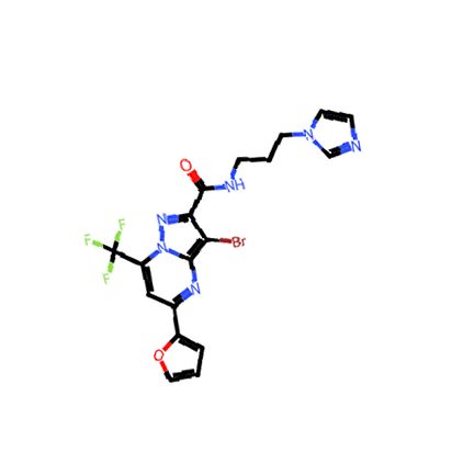 O=C(NCCCn1ccnc1)c1nn2c(C(F)(F)F)cc(-c3ccco3)nc2c1Br